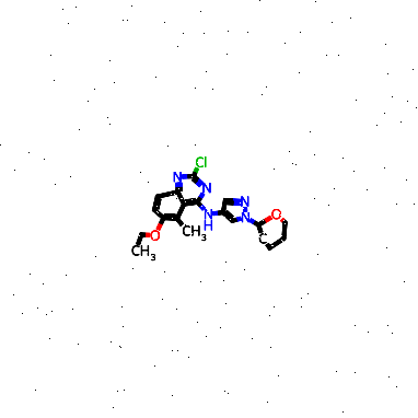 CCOc1ccc2nc(Cl)nc(Nc3cnn(C4CCCCO4)c3)c2c1C